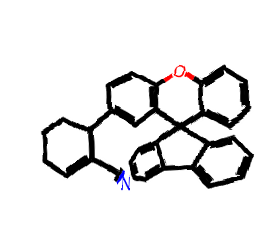 N#CC1=CCCCC1c1ccc2c(c1)C1(c3ccccc3O2)c2ccccc2-c2ccccc21